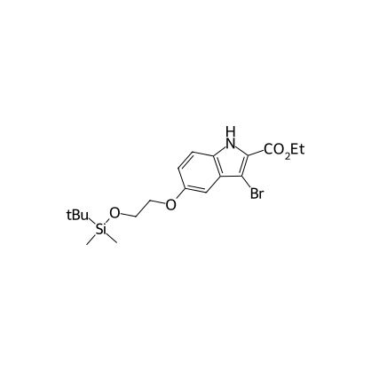 CCOC(=O)c1[nH]c2ccc(OCCO[Si](C)(C)C(C)(C)C)cc2c1Br